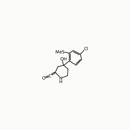 CSc1cc(Cl)ccc1C1(O)CCNC(=C=O)C1